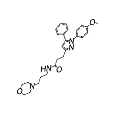 COc1ccc(-n2nc(CCC(=O)NCCCN3CCOCC3)cc2-c2ccccc2)cc1